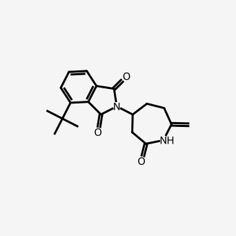 C=C1CCC(N2C(=O)c3cccc(C(C)(C)C)c3C2=O)CC(=O)N1